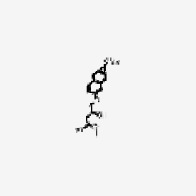 CCC(CC(O)COc1ccc2cc3c(cc2c1)C3OC)OI